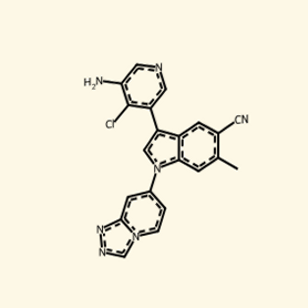 Cc1cc2c(cc1C#N)c(-c1cncc(N)c1Cl)cn2-c1ccn2cnnc2c1